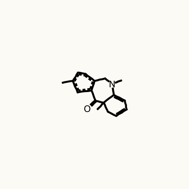 Cc1ccc2c(c1)C(=O)C1(C)CC=CC=C1N(C)C2